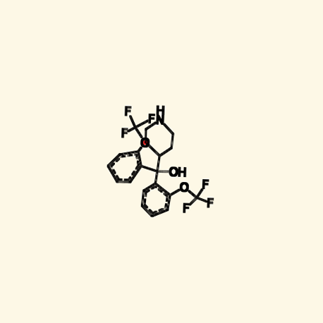 OC(c1ccccc1OC(F)(F)F)(c1ccccc1OC(F)(F)F)C1CCNCC1